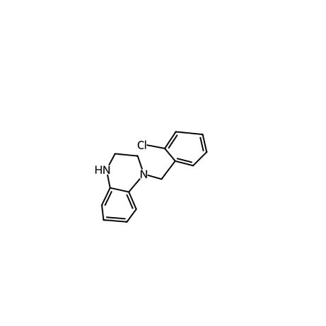 Clc1ccccc1CN1CCNc2ccccc21